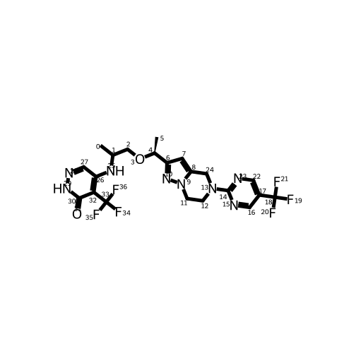 CC(CO[C@@H](C)c1cc2n(n1)CCN(c1ncc(C(F)(F)F)cn1)C2)Nc1cn[nH]c(=O)c1C(F)(F)F